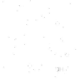 [CH2]S(=O)(=O)C(C(N)=O)c1ccccc1